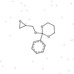 c1ccc(C2(OCC3CO3)OCCCO2)cc1